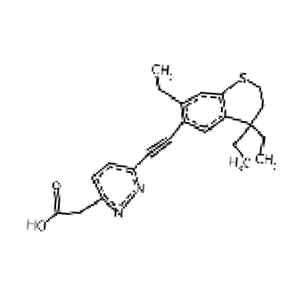 CCc1cc2c(cc1C#Cc1ccc(CC(=O)O)nn1)C(CC)(CC)CCS2